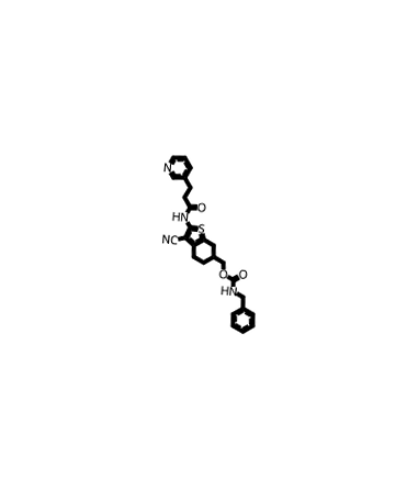 N#Cc1c(NC(=O)CCc2cccnc2)sc2c1CCC(COC(=O)NCc1ccccc1)C2